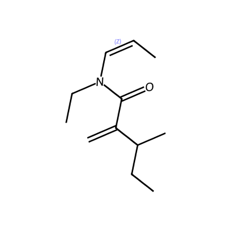 C=C(C(=O)N(/C=C\C)CC)C(C)CC